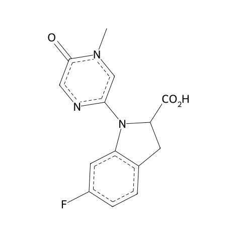 Cn1cc(N2c3cc(F)ccc3CC2C(=O)O)ncc1=O